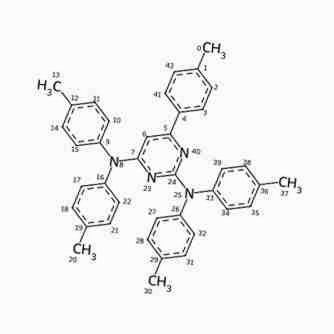 Cc1ccc(-c2cc(N(c3ccc(C)cc3)c3ccc(C)cc3)nc(N(c3ccc(C)cc3)c3ccc(C)cc3)n2)cc1